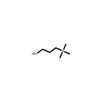 [CH2]CCCCC[Si](C)(C)C